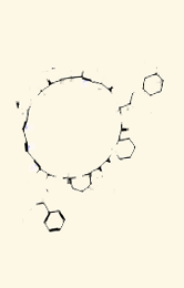 C=C[C@@H]1/C=C/C=C/C=C(\C)C(OC[C@@H](OC)c2ccccc2)C[C@@H]2CC[C@@H](C)[C@@](O)(O2)C(=O)C(=O)N2CCCCC2C(=O)O[C@H]([C@H](C)C[C@@H]2CC[C@@H](O)[C@H](OC)C2)CC(=O)[C@H](C)/C=C(\C)[C@@H](O)[C@@H](OC)C(=O)[C@H](C)C1